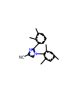 Cc1cc(C)c(-n2cc(C#N)nc2-c2cccc(C)c2C)c(C)c1